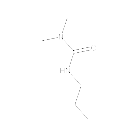 [CH2]CCNC(=O)N(C)C